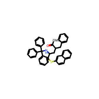 COC(=O)C(Cc1ccccc1)CC(CSc1ccc2ccccc2c1)NC(c1ccccc1)(c1ccccc1)c1ccccc1